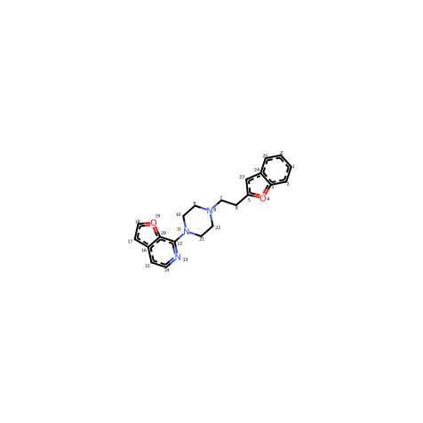 c1ccc2oc(CCN3CCN(c4nccc5ccoc45)CC3)cc2c1